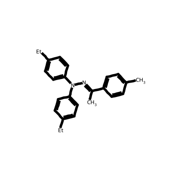 CCc1ccc(N(/N=C(\C)c2ccc(C)cc2)c2ccc(CC)cc2)cc1